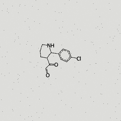 O=CC(=O)C1CCCNC1c1ccc(Cl)cc1